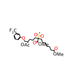 COC(=O)CCCCCCC(CCCC(COc1cccc(C(F)(F)F)c1)OC(C)=O)(C(=O)OC)S(C)(=O)=O